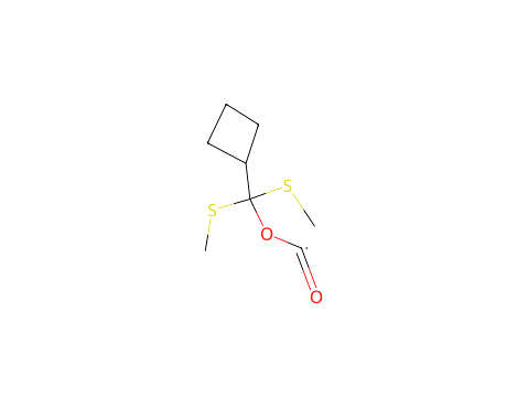 CSC(O[C]=O)(SC)C1CCC1